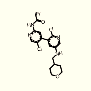 CC(C)C(=O)Nc1cc(-c2cc(NCC3CCOCC3)cnc2Cl)c(Cl)cn1